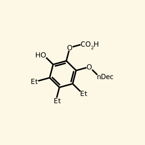 CCCCCCCCCCOc1c(CC)c(CC)c(CC)c(O)c1OC(=O)O